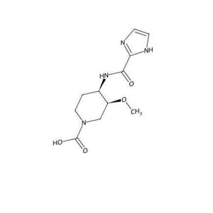 CO[C@H]1CN(C(=O)O)CC[C@H]1NC(=O)c1ncc[nH]1